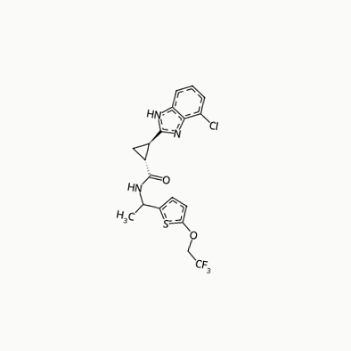 CC(NC(=O)[C@@H]1C[C@H]1c1nc2c(Cl)cccc2[nH]1)c1ccc(OCC(F)(F)F)s1